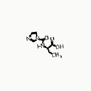 CCC(NC(=O)n1ccnc1)C(=O)O